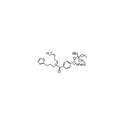 C=CCC[C@H](CCCc1cccs1)C(=O)c1ccc([C@H](CCCCC)O[Si](C)(C)C(C)(C)C)cc1